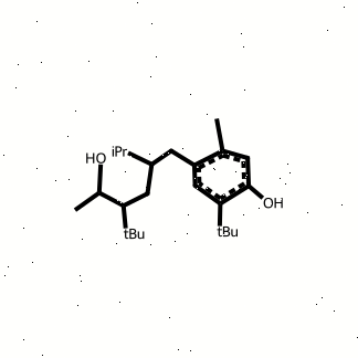 Cc1cc(O)c(C(C)(C)C)cc1CC(CC(C(C)O)C(C)(C)C)C(C)C